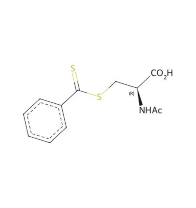 CC(=O)N[C@@H](CSC(=S)c1ccccc1)C(=O)O